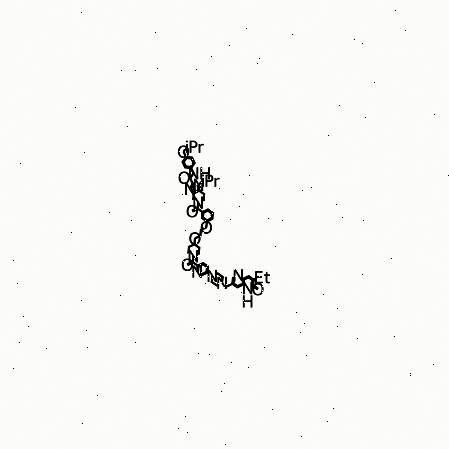 CCc1cc2ncc(CN3CCN(c4ccc(C(=O)N5CCC(OCCOc6cccc(C(=O)N7CCc8c(nc(C(=O)Nc9ccc(OC(C)C)cc9)n8C(C)C)C7)c6)CC5)nc4)CC3)cc2[nH]c1=O